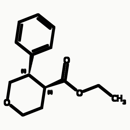 CCOC(=O)[C@H]1CCOC[C@@H]1c1ccccc1